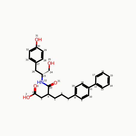 O=C(O)CC(CCCc1ccc(-c2ccccc2)cc1)C(=O)N[C@@H](CO)Cc1ccc(O)cc1